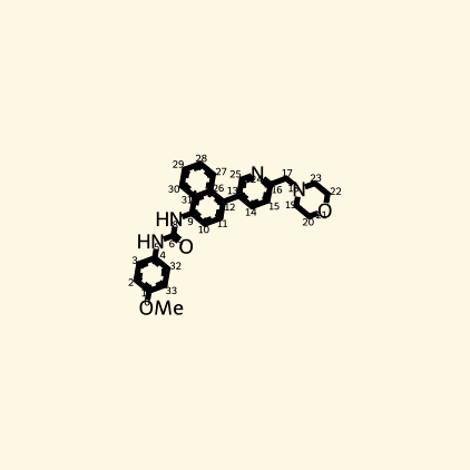 COc1ccc(NC(=O)Nc2ccc(-c3ccc(CN4CCOCC4)nc3)c3ccccc23)cc1